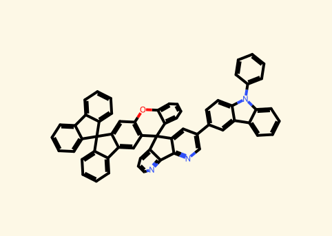 c1ccc(-n2c3ccccc3c3cc(-c4cnc5c(c4)C4(c6ccccc6Oc6cc7c(cc64)-c4ccccc4C74c6ccccc6-c6ccccc64)c4cccnc4-5)ccc32)cc1